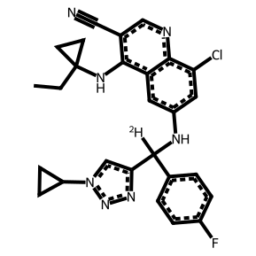 [2H]C(Nc1cc(Cl)c2ncc(C#N)c(NC3(CC)CC3)c2c1)(c1ccc(F)cc1)c1cn(C2CC2)nn1